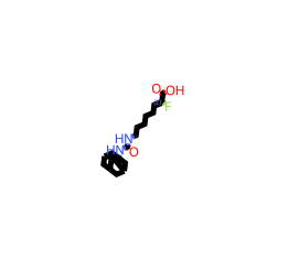 O=C(NCCCCC/C=C(\F)C(=O)O)NC12CC3CC(CC(C3)C1)C2